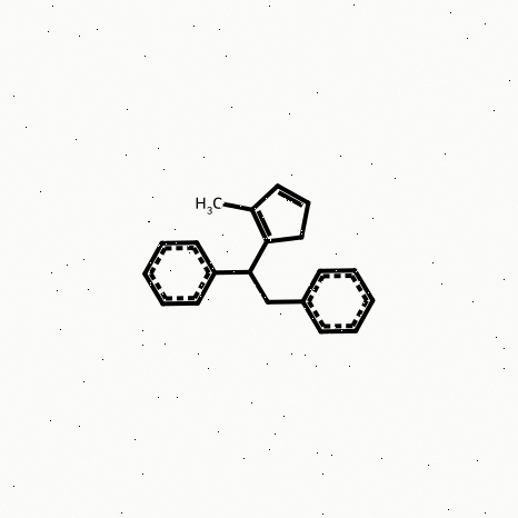 CC1=C(C(Cc2ccccc2)c2ccccc2)CC=C1